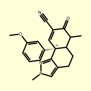 COc1cccc([C@]23C=C(C#N)C(=O)C(C)C2CCc2cn(C)nc23)c1